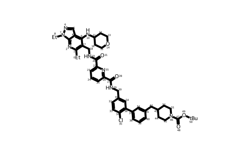 CCc1nc2c(cnn2CC)c(NC2CCOCC2)c1CNC(=O)c1cccc(C(=O)NCc2ccc(Cl)c(-c3cccc(CC4CCN(C(=O)OC(C)(C)C)CC4)c3)c2)n1